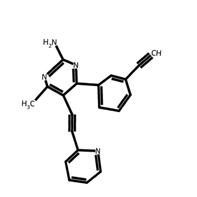 C#Cc1cccc(-c2nc(N)nc(C)c2C#Cc2ccccn2)c1